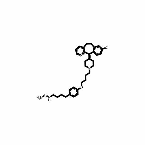 NONCCCCc1ccc(OCCCCN2CCC(=C3c4ccc(Cl)cc4CCc4cccnc43)CC2)cc1